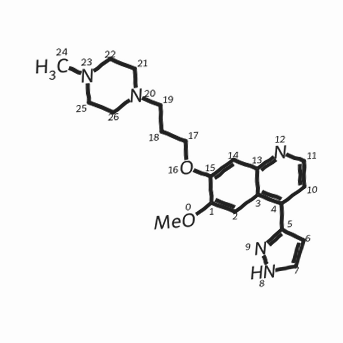 COc1cc2c(-c3cc[nH]n3)ccnc2cc1OCCCN1CCN(C)CC1